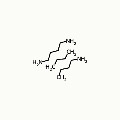 NCCCCN.[CH2]CCCN.[CH2]CC[CH2]